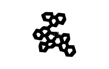 Oc1c(-c2cc3ccccc3c3ccccc23)cc2ccccc2c1-c1c(O)c(C2C=c3ccccc3=C3C=CC=CC32)cc2ccccc12